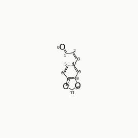 O=C/C=C\c1ccc2c(c1)OCO2